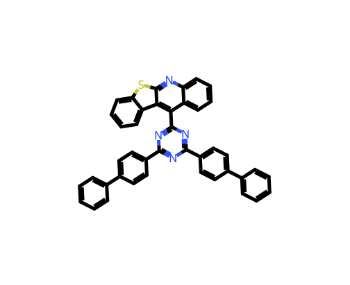 c1ccc(-c2ccc(-c3nc(-c4ccc(-c5ccccc5)cc4)nc(-c4c5ccccc5nc5sc6ccccc6c45)n3)cc2)cc1